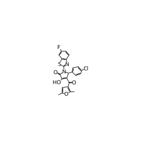 Cc1cc(C(=O)C2=C(O)C(=O)N(c3nc4ccc(F)cc4s3)C2c2ccc(Cl)cc2)c(C)o1